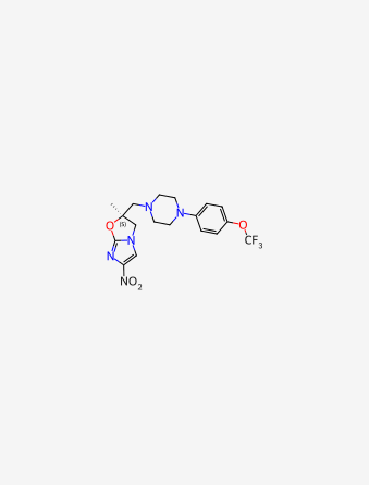 C[C@]1(CN2CCN(c3ccc(OC(F)(F)F)cc3)CC2)Cn2cc([N+](=O)[O-])nc2O1